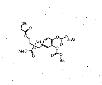 CCC(C)OC(=O)Oc1cc(C[C@](N)(CCOC(=O)CC(C)(C)C)C(=O)OC)ccc1OC(=O)O[C@@H](C)CC